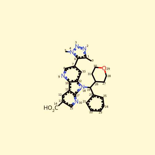 Cc1nnn(C)c1-c1cnc2c3cc(C(=O)O)cnc3n(C(c3ccccc3)C3CCOCC3)c2c1